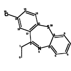 CCC1=Nc2ccccc2Sc2ccc(Cl)cc21